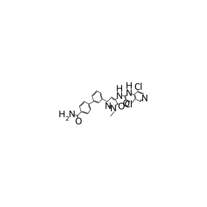 CCn1nc(-c2cccc(-c3ccc(C(N)=O)cc3)c2)cc(NC(=O)Nc2c(Cl)cncc2Cl)c1=O